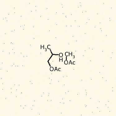 CC(=O)OCC(C)O.COC(C)=O